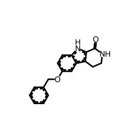 O=C1NCCc2c1[nH]c1ccc(OCc3ccccc3)cc21